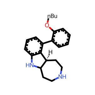 CCCCOc1ccccc1-c1cccc2c1[C@H]1CCNCCC1N2